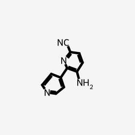 N#Cc1ccc(N)c(-c2ccncc2)n1